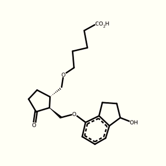 O=C(O)CCCCOC[C@H]1CCC(=O)[C@@H]1COc1cccc2c1CCC2O